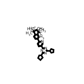 CC1(C)c2ccc(-c3ccc(-c4nc(C5CCCC5)nc(C5CCCC5)n4)cn3)cc2C(C)(C)C1(C)C